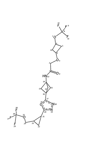 O=C(COC1CC(OC(F)(F)F)C1)NC12CC(c3nnc(C4CC4COC(F)(F)F)o3)(C1)C2